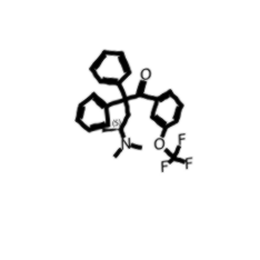 C[C@@H](CC(C(=O)c1cccc(OC(F)(F)F)c1)(c1ccccc1)c1ccccc1)N(C)C